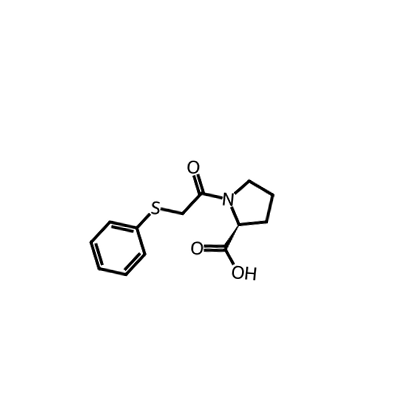 O=C(O)[C@@H]1CCCN1C(=O)CSc1ccccc1